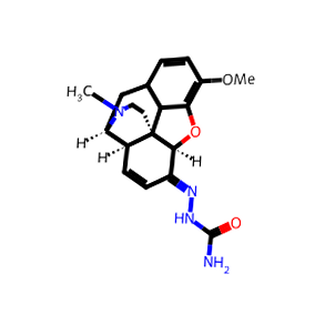 COC1=C2O[C@H]3C(=NNC(N)=O)C=C[C@H]4[C@H]5CC(C=C1)C2[C@@]34CCN5C